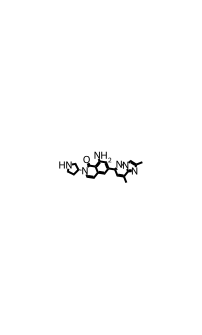 Cc1cn2nc(-c3cc(N)c4c(=O)n([C@@H]5CCNC5)ccc4c3)cc(C)c2n1